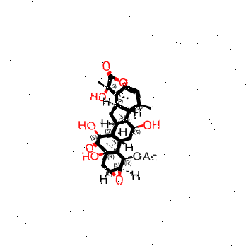 CC(=O)O[C@H]1[C@H]2O[C@H]2C[C@]2(O)C(=O)[C@@H](O)[C@H]3[C@@H]4C[C@@H]5[C@H]([C@H](C)C=C6OC(=O)[C@@](C)(O)[C@@]65C)[C@@]4(C)[C@@H](O)C[C@@H]3[C@@]12C